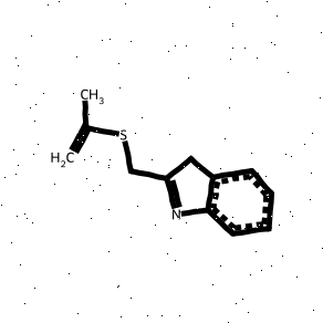 C=C(C)SCC1=Nc2ccccc2C1